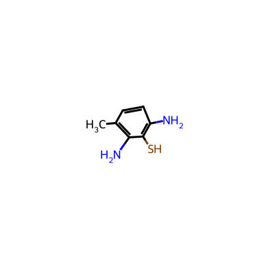 Cc1ccc(N)c(S)c1N